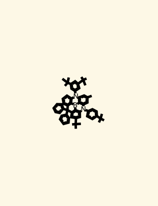 Cc1cc2c3c(c1)N(c1ccc(C(C)(C)C)cc1)c1cc(C(C)(C)C)cc4c1B3c1c(cccc1C4(c1ccccc1)c1ccccc1)N2c1cc(C(C)(C)C)cc(C(C)(C)C)c1